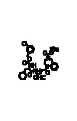 CC(C)(C)OC(=O)N1CCN(C(=O)CC[C@@H](C=O)NC(=O)[C@H](CC2CCCCC2)NC(=O)OCc2cccc(Cl)c2)c2ccccc2C1